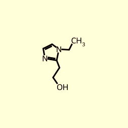 CCn1ccnc1CCO